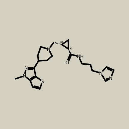 Cn1nc(C2CCN(C[C@@H]3C[C@H]3C(=O)NCCCn3ccnc3)CC2)c2sccc21